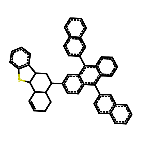 C1=CC2C(CC1)C(c1ccc3c(-c4ccc5ccccc5c4)c4ccccc4c(-c4ccc5ccccc5c4)c3c1)CC1c3ccccc3SC12